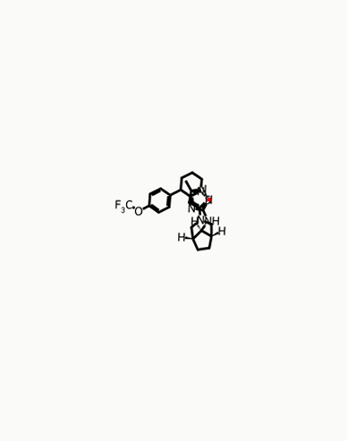 Cc1cc(N2C[C@H]3CC[C@@H](C2)[C@@H]3Nc2nc3n(n2)CCCC3c2ccc(OC(F)(F)F)cc2)sn1